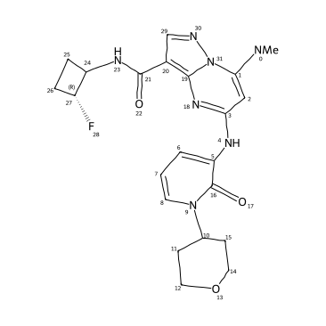 CNc1cc(Nc2cccn(C3CCOCC3)c2=O)nc2c(C(=O)NC3CC[C@H]3F)cnn12